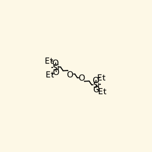 CCO[Si](C)(CCCOCCOCCC[Si](C)(OCC)OCC)OCC